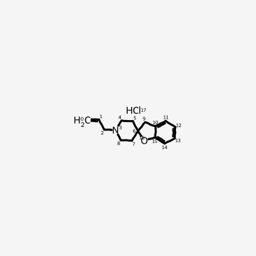 C=CCN1CCC2(CC1)Cc1ccccc1O2.Cl